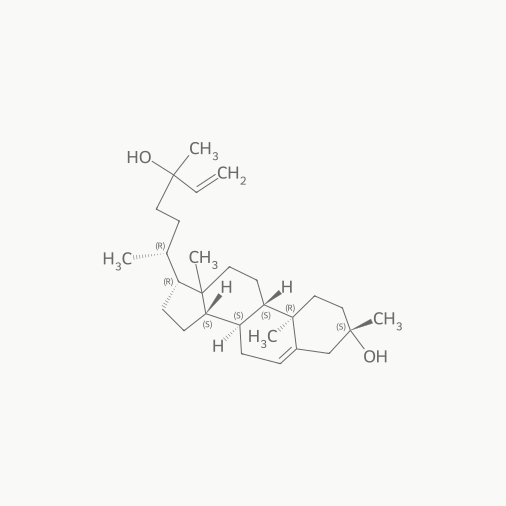 C=CC(C)(O)CC[C@@H](C)[C@H]1CC[C@H]2[C@@H]3CC=C4C[C@@](C)(O)CC[C@]4(C)[C@H]3CCC12C